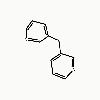 [CH](c1cccnc1)c1cccnc1